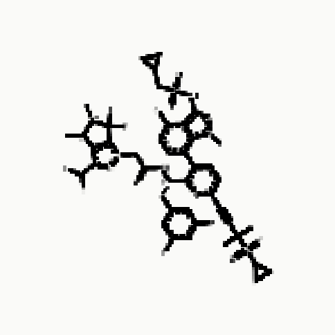 C[C@@H]1c2c(C(F)F)nn(CC(=O)N[C@@H](Cc3cc(F)cc(F)c3)c3nc(C#CC(C)(C)S(=O)(=O)C4CC4)ccc3-c3ccc(Cl)c4c(NS(=O)(=O)CC5CC5)nn(C)c34)c2C(F)(F)[C@@H]1C